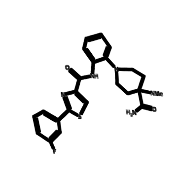 CNC1(C(N)=O)CCN(c2ccccc2NC(=O)c2csc(-c3cccc(F)c3)n2)CC1